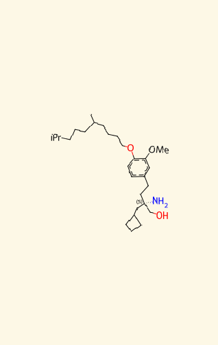 COc1cc(CC[C@@](N)(CO)CC2CCC2)ccc1OCCCCC(C)CCCC(C)C